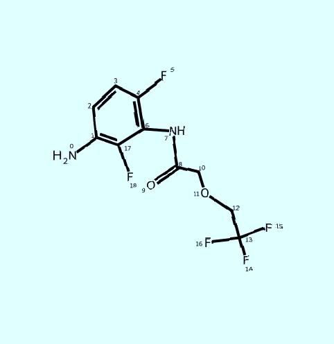 Nc1ccc(F)c(NC(=O)COCC(F)(F)F)c1F